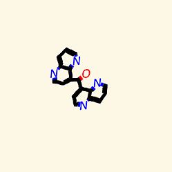 O=C(c1ccnc2cccnc12)c1ccnc2cccnc12